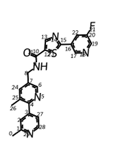 Cc1cc(-c2ncc(CNC(=O)c3cnc(-c4cncc(F)c4)s3)cc2C)ccn1